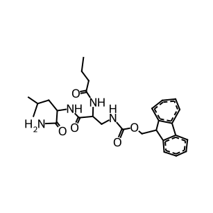 CCCC(=O)NC(CNC(=O)OCC1c2ccccc2-c2ccccc21)C(=O)NC(CC(C)C)C(N)=O